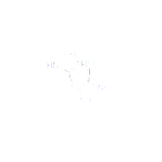 Cl.Cl.Nc1cc2c(cc1N)NCC2